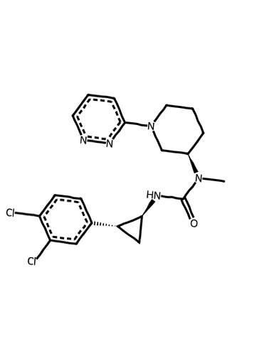 CN(C(=O)N[C@H]1C[C@@H]1c1ccc(Cl)c(Cl)c1)[C@@H]1CCCN(c2cccnn2)C1